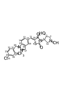 CN1C[C@@H](O)[C@H](N2C(=O)SC(=Cc3ccc4c(cnn4Cc4ccc(Cl)cc4C(F)(F)F)c3)C2=O)C1